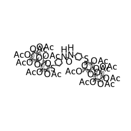 CC(=O)OC[C@H]1O[C@@H](Sc2ccc(NC(=O)Nc3ccc(S[C@@H]4O[C@H](COC(C)=O)[C@@H](O[C@@H]5O[C@H](COC(C)=O)[C@@H](OC(C)=O)[C@H](OC(C)=O)[C@H]5OC(C)=O)[C@H](OC(C)=O)[C@H]4OC(C)=O)cc3)cc2)[C@H](OC(C)=O)[C@@H](OC(C)=O)[C@@H]1O[C@@H]1O[C@H](COC(C)=O)[C@@H](OC(C)=O)[C@H](OC(C)=O)[C@H]1OC(C)=O